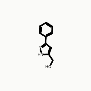 OCc1cc(-c2ccccc2)n[nH]1